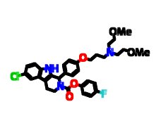 COCCN(CCCOc1ccc(C2c3[nH]c4ccc(Cl)cc4c3CCN2C(=O)Oc2ccc(F)cc2)cc1)CCOC